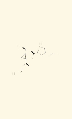 C=C[C@@H]1C[C@]1(NC(=O)[C@@H]1C[C@@H](CP)CN1)C(=O)OCC